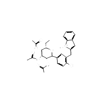 CC[C@H]1OC(c2ccc(Cl)c(Cc3cc4ccccc4[s+]3[O-])c2)[C@H](OC(C)=O)[C@@H](OC(C)=O)[C@@H]1OC(C)=O